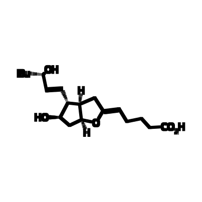 CCC(C)[C@H](O)/C=C/[C@@H]1[C@H]2C/C(=C/CCCC(=O)O)O[C@H]2C[C@H]1O